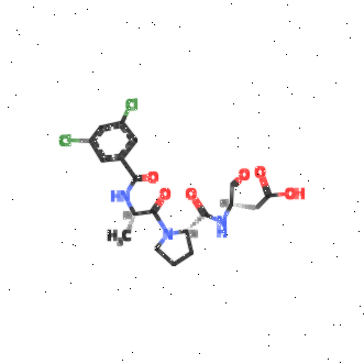 C[C@H](NC(=O)c1cc(Cl)cc(Cl)c1)C(=O)N1CCC[C@H]1C(=O)N[C@H](C=O)CC(=O)O